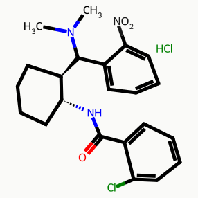 CN(C)C(c1ccccc1[N+](=O)[O-])[C@@H]1CCCC[C@H]1NC(=O)c1ccccc1Cl.Cl